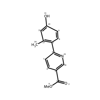 COC(=O)c1ccc(-c2ccc(O)cc2C)nc1